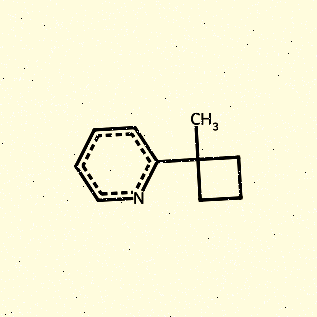 CC1(c2ccccn2)CCC1